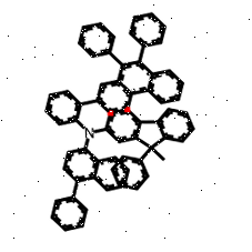 CC1(c2ccccc2)c2ccccc2-c2ccc(N(c3ccccc3-c3ccc4c(c3)c(-c3ccccc3)c(-c3ccccc3)c3ccccc34)c3ccc(-c4ccccc4)c4ccccc34)cc21